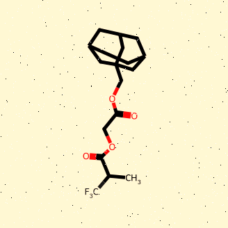 CC(C(=O)OCC(=O)OCC12CC3CC(CC(C3)C1)C2)C(F)(F)F